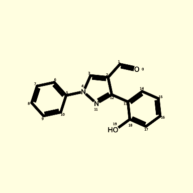 O=Cc1cn(-c2ccccc2)nc1-c1ccccc1O